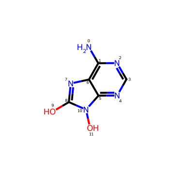 Nc1ncnc2c1nc(O)n2O